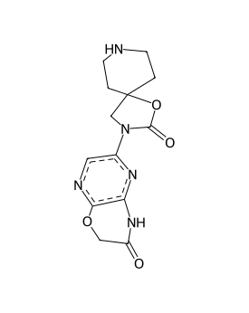 O=C1COc2ncc(N3CC4(CCNCC4)OC3=O)nc2N1